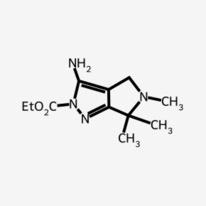 CCOC(=O)n1nc2c(c1N)CN(C)C2(C)C